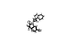 CC[C@]1(N2CCCCC2)C[C@@H](N2C(=O)C(C)(C)c3ncc(Br)cc32)C1